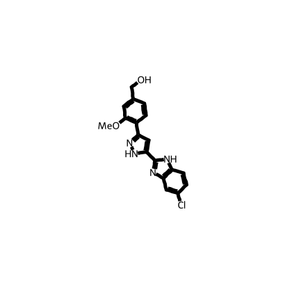 COc1cc(CO)ccc1-c1cc(-c2nc3cc(Cl)ccc3[nH]2)[nH]n1